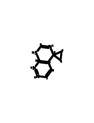 C1=NC2(CC2)c2ccnnc2S1